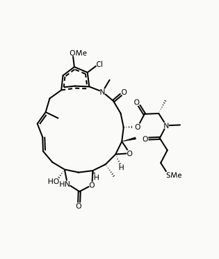 COc1cc2cc(c1Cl)N(C)C(=O)C[C@H](OC(=O)[C@H](C)N(C)C(=O)CCSC)[C@]1(C)O[C@H]1[C@H](C)[C@@H]1C[C@](O)(C/C=C/C=C(\C)C2)NC(=O)O1